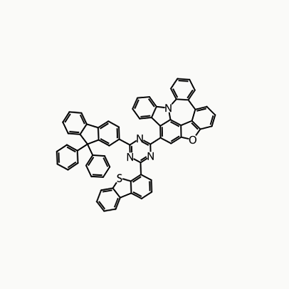 c1ccc(C2(c3ccccc3)c3ccccc3-c3ccc(-c4nc(-c5cccc6c5sc5ccccc56)nc(-c5cc6oc7cccc8c9ccccc9n9c%10ccccc%10c5c9c6c78)n4)cc32)cc1